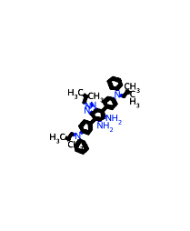 CC(C)CN(c1ccccc1)c1ccc(-c2c(N)c(N)c(-c3ccc(N(CC(C)C)c4ccccc4)cc3)c3nn(CC(C)C)nc23)cc1